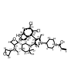 C=CC(=O)N1CCC(n2nc(N3CC[C@@H](CN(C4COC4)C4COC4)CC3(C)C)c(-c3c(Cl)c(Cl)cc4[nH]ncc34)c2C)CC1